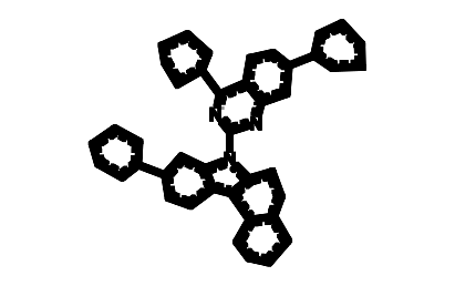 c1ccc(-c2ccc3c(-c4ccccc4)nc(-n4c5cc(-c6ccccc6)ccc5c5c6ccccc6ccc54)nc3c2)cc1